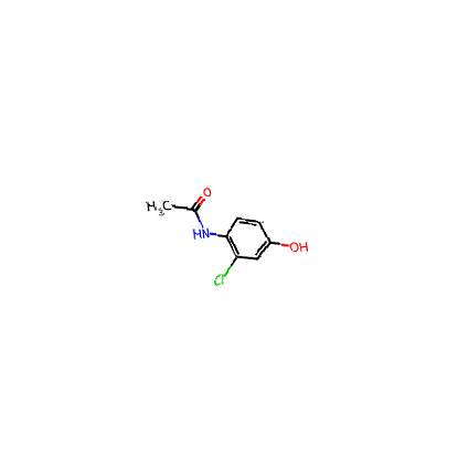 CC(=O)Nc1c[c]c(O)cc1Cl